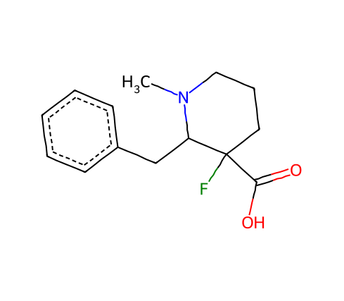 CN1CCCC(F)(C(=O)O)C1Cc1ccccc1